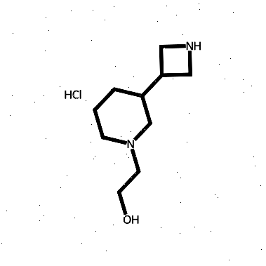 Cl.OCCN1CCCC(C2CNC2)C1